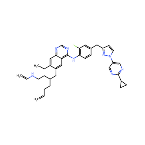 C=CCCC(CCNC=C)Cc1cc2c(Nc3ccc(Cc4ccn(-c5cnc(C6CC6)nc5)n4)cc3F)ncnc2cc1CC